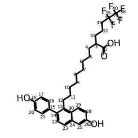 O=C(O)C(CCCCCCCCCc1c(-c2ccc(O)cc2)ccc2cc(O)ccc12)CCCC(F)(F)C(F)(F)F